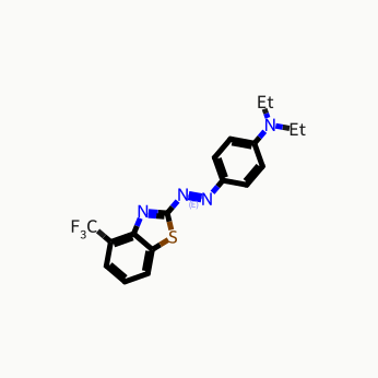 CCN(CC)c1ccc(/N=N/c2nc3c(C(F)(F)F)cccc3s2)cc1